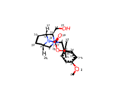 COc1ccc(CN2C[C@@H]3CC[C@H]([C@H]2CO)N3C(=O)OC(C)(C)C)cc1